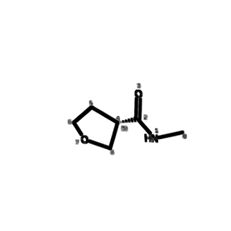 CNC(=O)[C@H]1CCOC1